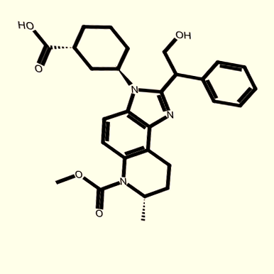 COC(=O)N1c2ccc3c(nc(C(CO)c4ccccc4)n3[C@@H]3CCC[C@@H](C(=O)O)C3)c2CC[C@@H]1C